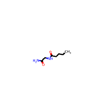 CCCCC(=O)NCC(N)=O